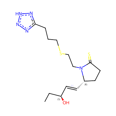 CC[C@H](O)/C=C/[C@H]1CCC(=S)N1CCSCCCc1nn[nH]n1